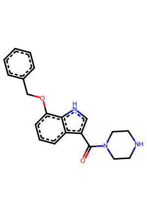 O=C(c1c[nH]c2c(OCc3ccccc3)cccc12)N1CCNCC1